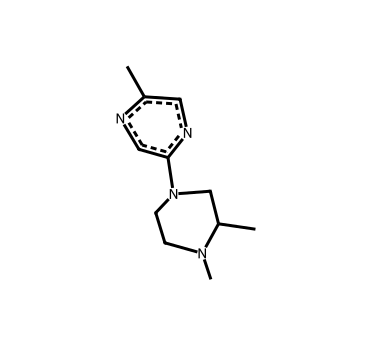 Cc1cnc(N2CCN(C)C(C)C2)cn1